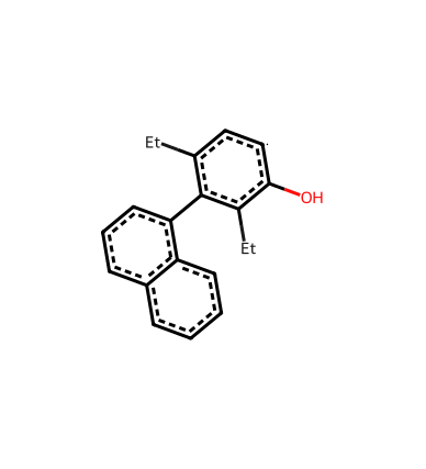 CCc1c[c]c(O)c(CC)c1-c1cccc2ccccc12